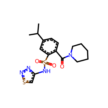 CC(C)c1ccc(C(=O)N2CCCCC2)c(S(=O)(=O)Nc2csnn2)c1